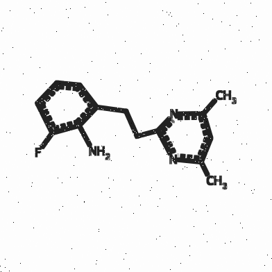 Cc1cc(C)nc(CCc2cccc(F)c2N)n1